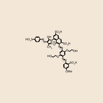 COc1ccc(/N=N/c2cc(OCCO)c(/N=N/c3c(S(=O)(=O)O)cc4cc(S(=O)(=O)O)cc(-n5nc(C)c(/N=N/c6ccc(S(=O)(=O)O)cc6)c5O)c4c3O)cc2OCCO)c(S(=O)(=O)O)c1